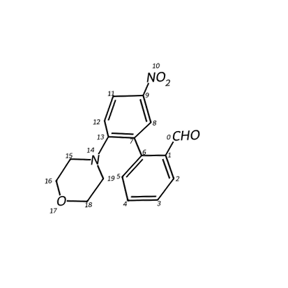 O=Cc1ccccc1-c1cc([N+](=O)[O-])ccc1N1CCOCC1